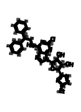 CCn1nnc([C@H]2O[C@@H](n3cnc4c(NCC(c5ccccc5)c5ccccc5)nc(Cl)nc43)[C@H](O)[C@@H]2O)n1